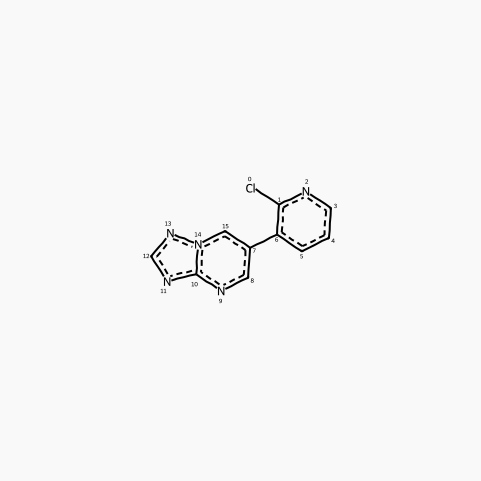 Clc1ncccc1-c1cnc2ncnn2c1